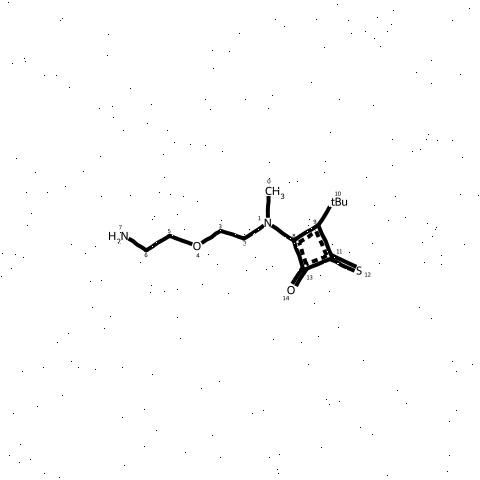 CN(CCOCCN)c1c(C(C)(C)C)c(=S)c1=O